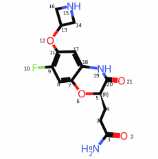 NC(=O)CC[C@H]1Oc2cc(F)c(OC3CNC3)cc2NC1=O